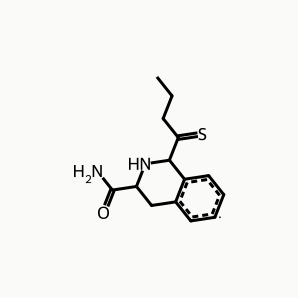 CCCC(=S)C1NC(C(N)=O)Cc2c[c]ccc21